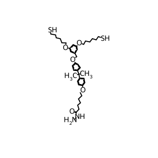 CC(C)(c1ccc(OCCCCCCC(=O)NN)cc1)c1ccc(OCc2cc(OCCCCCCS)cc(OCCCCCCS)c2)cc1